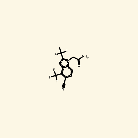 CC(F)(F)c1cc2c(C(F)(F)F)c(C#N)ccc2n1CC(N)=O